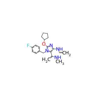 C=CNc1nc(OC2CCCC2)n(Cc2ccc(F)cc2)c1C(=C)NC